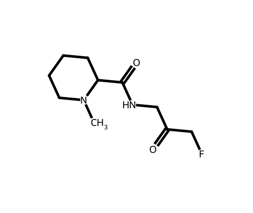 CN1CCCCC1C(=O)NCC(=O)CF